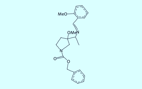 COc1ccccc1C=NC(C)C1(OC)CCN(C(=O)OCc2ccccc2)C1